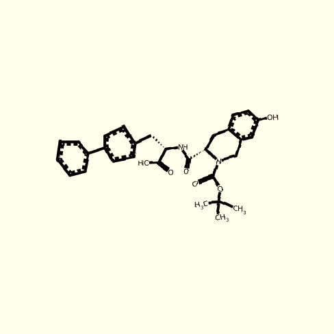 CC(C)(C)OC(=O)N1Cc2cc(O)ccc2C[C@H]1C(=O)N[C@@H](Cc1ccc(-c2ccccc2)cc1)C(=O)O